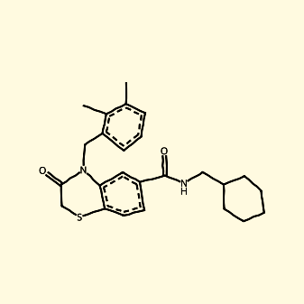 Cc1cccc(CN2C(=O)CSc3ccc(C(=O)NCC4CCCCC4)cc32)c1C